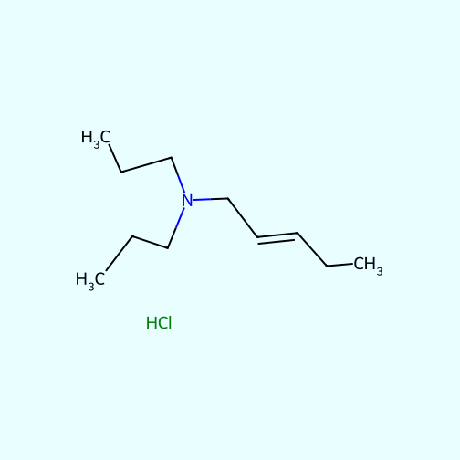 CCC=CCN(CCC)CCC.Cl